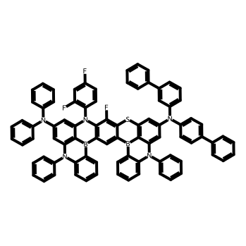 Fc1ccc(N2c3cc(N(c4ccccc4)c4ccccc4)cc4c3B(c3ccccc3N4c3ccccc3)c3cc4c(c(F)c32)Sc2cc(N(c3ccc(-c5ccccc5)cc3)c3cccc(-c5ccccc5)c3)cc3c2B4c2ccccc2N3c2ccccc2)c(F)c1